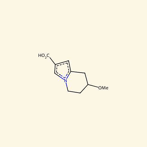 COC1CCn2cc(C(=O)O)cc2C1